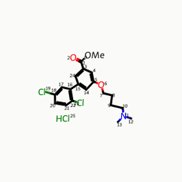 COC(=O)c1cc(OCCCCN(C)C)cc(-c2cc(Cl)ccc2Cl)c1.Cl